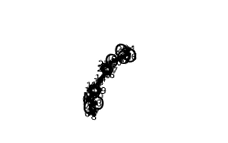 CN(C(=O)OC(C)(C)C)c1ccc(C#Cc2ccc(OCCOS(C)(=O)=O)cc2)cc1